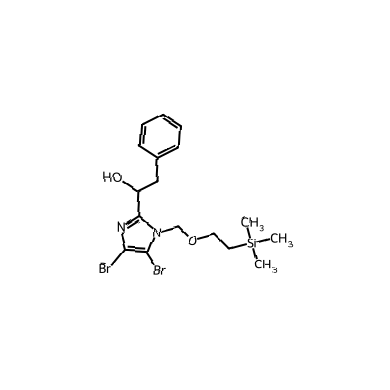 C[Si](C)(C)CCOCn1c(C(O)Cc2ccccc2)nc(Br)c1Br